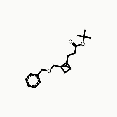 CC(C)(C)OC(=O)CCC1C2CC1(COCc1ccccc1)C2